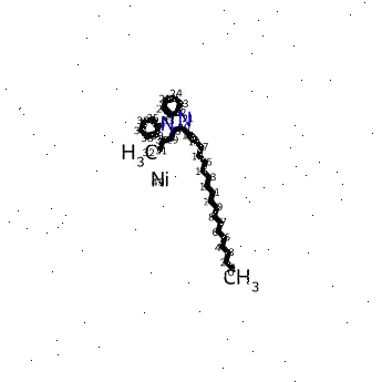 CCCCCCCCCCCCCCCCCCC#CC(=Nc1ccccc1)C(CCCC)=Nc1ccccc1.[Ni]